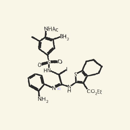 Bc1cc(S(=O)(=O)NC(I)/C(=N\c2ccccc2N)Nc2sc3c(c2C(=O)OCC)CCCC3)cc(C)c1NC(C)=O